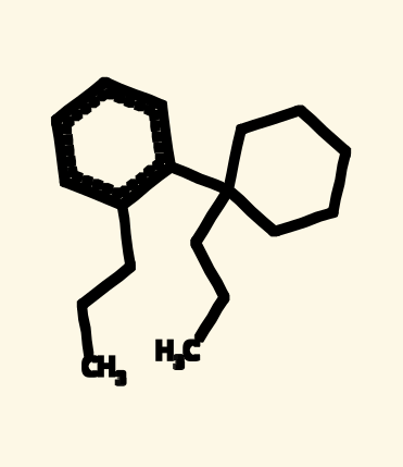 CCCc1ccccc1C1(CCC)CCCCC1